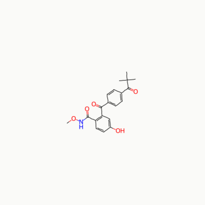 CONC(=O)c1ccc(O)cc1C(=O)c1ccc(C(=O)C(C)(C)C)cc1